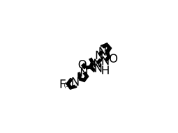 Cc1c(C(=O)N2CCC(N3CC[C@H](F)C3)C2)cnn1-c1nn2cccc2c(=O)[nH]1